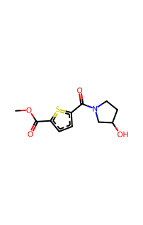 COC(=O)c1ccc(C(=O)N2CCC(O)C2)s1